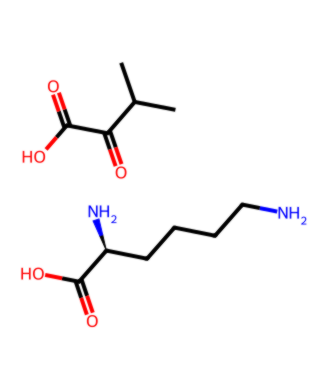 CC(C)C(=O)C(=O)O.NCCCC[C@H](N)C(=O)O